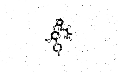 COc1cc(Sc2sccc2NC(=O)C(C)N)cnc1N1CCN(C)CC1